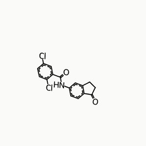 O=C(Nc1ccc2c(c1)CCC2=O)c1cc(Cl)ccc1Cl